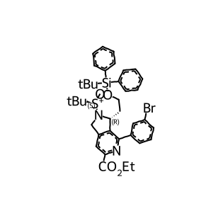 CCOC(=O)c1cc2c(c(-c3cccc(Br)c3)n1)[C@@H](CCO[Si](c1ccccc1)(c1ccccc1)C(C)(C)C)N([S@+]([O-])C(C)(C)C)C2